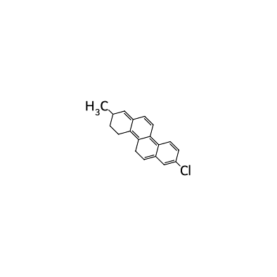 CC1C=c2ccc3c(c2CC1)CC=c1cc(Cl)ccc1=3